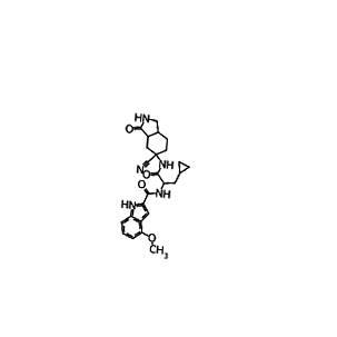 COc1cccc2[nH]c(C(=O)NC(CC3CC3)C(=O)NC3(C#N)CCC4CNC(=O)C4C3)cc12